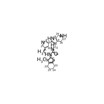 Cc1cncc(-c2[nH]c3c(c2CNC(=O)Nc2sc4c(c2C)CCCC4)CCNC3)c1